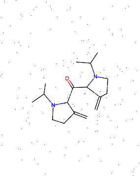 C=C1CCN(C(C)C)C1C(=O)C1C(=C)CCN1C(C)C